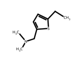 C[CH]c1ccc(CN(C)C)s1